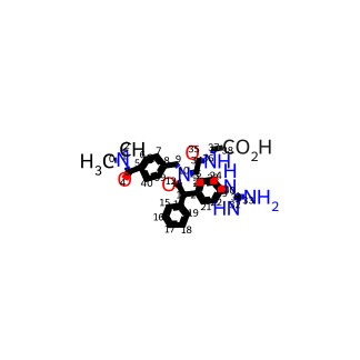 CN(C)C(=O)c1ccc(CN(C(=O)C(c2ccccc2)c2ccccc2)[C@@H](CCCNC(=N)N)C(=O)NCC(=O)O)cc1